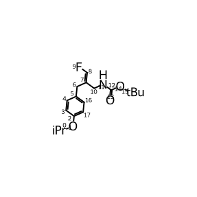 CC(C)Oc1ccc(C/C(=C\F)CNC(=O)OC(C)(C)C)cc1